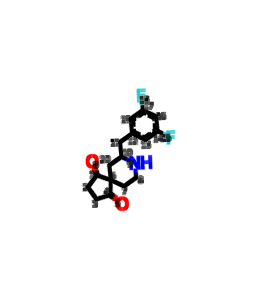 O=C1CCC(=O)C12CCNC(Cc1cc(F)cc(F)c1)C2